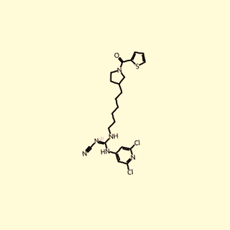 N#C/N=C(/NCCCCCCC1CCN(C(=O)c2cccs2)C1)Nc1cc(Cl)nc(Cl)c1